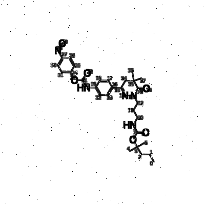 CCCC(C)(C)OC(=O)NCCCN1N=C(c2ccc(NC(=O)Oc3ccc(N=O)cc3)cc2)CC(C)(C)C1=O